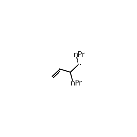 C=CC([CH]CCC)CCC